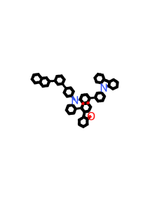 c1cc(-c2ccc(N(c3ccc(-c4cccc(-n5c6ccccc6c6ccccc65)c4)cc3)c3ccccc3-c3cccc4oc5ccccc5c34)cc2)cc(-c2ccc3ccccc3c2)c1